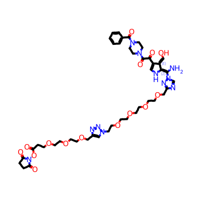 N/C(=c1/[nH]cc(C(=O)C(=O)N2CCN(C(=O)c3ccccc3)CC2)/c1=C\O)n1cnc(COCCOCCOCCOCCn2cc(COCCOCCOCCC(=O)ON3C(=O)CCC3=O)nn2)n1